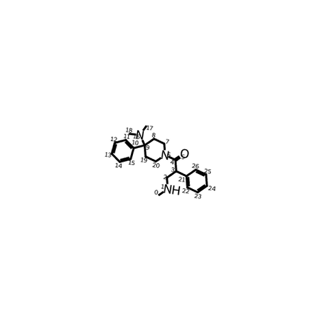 CNCC(C(=O)N1CCC(c2ccccc2)(N(C)C)CC1)c1ccccc1